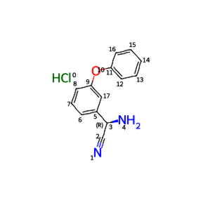 Cl.N#C[C@H](N)c1cccc(Oc2ccccc2)c1